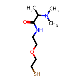 CC(C(=O)NCCOCCS)N(C)C